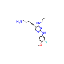 CCCNc1nc(Nc2ccc(OC)c(F)c2)ncc1C#CCCCN